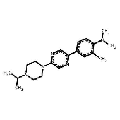 Cc1cc(-c2cnc(N3CCN(C(C)C)CC3)cn2)ccc1N(C)C